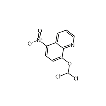 O=[N+]([O-])c1ccc(OC(Cl)Cl)c2ncccc12